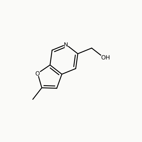 Cc1cc2cc(CO)ncc2o1